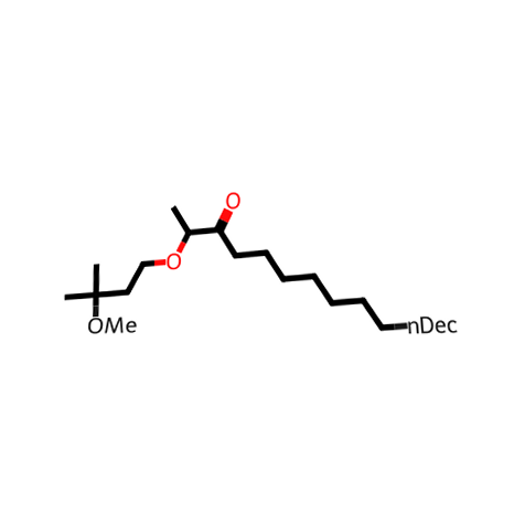 CCCCCCCCCCCCCCCCCC(=O)C(C)OCCC(C)(C)OC